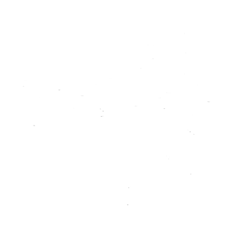 O=C(O)CCC(=O)c1nc2cc(F)c(-c3ccccc3-c3cc4sc(CCC(=O)O)nc4cc3F)cc2s1